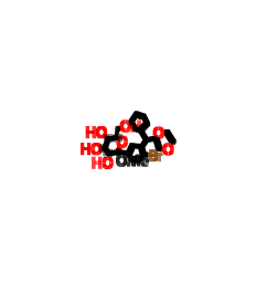 COC1(c2ccc(Br)c(C(C3=CC=CCC3)C3=COC=CO3)c2)O[C@H](CO)[C@@H](O)[C@H](O)[C@H]1O